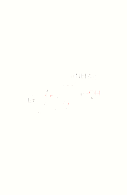 CCC(C)(C)OC(=O)CC(CO)NC(C)=O